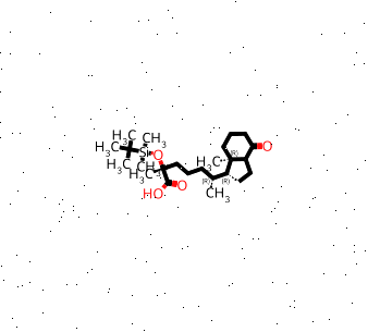 C[C@H](CCC[C@@](C)(O[Si](C)(C)C(C)(C)C)C(=O)O)[C@H]1CCC2C(=O)CCC[C@@]21C